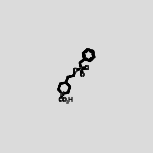 O=C(O)N1CCC(CCOS(=O)(=O)Cc2ccccc2)CC1